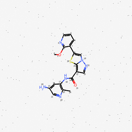 COc1ncccc1-c1cn2ncc(C(=O)Nc3cc(N)cnc3C)c2s1